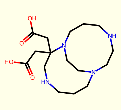 O=C(O)CC1(CC(=O)O)CNCCCN2CCNCCCN1CC2